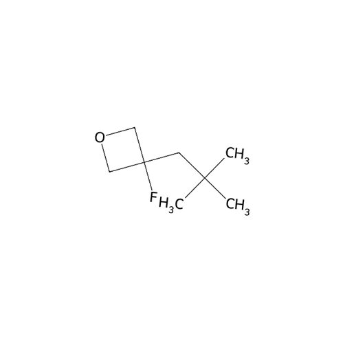 CC(C)(C)CC1(F)COC1